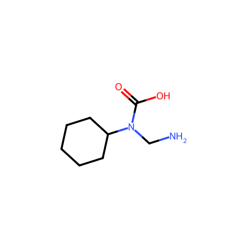 NCN(C(=O)O)C1CCCCC1